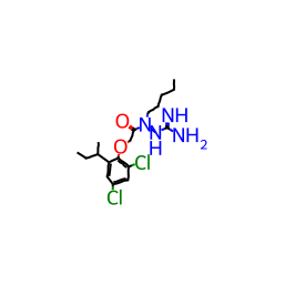 CCCCCN(NC(=N)N)C(=O)COc1c(Cl)cc(Cl)cc1C(C)CC